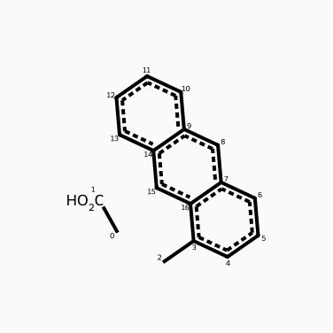 CC(=O)O.Cc1cccc2cc3ccccc3cc12